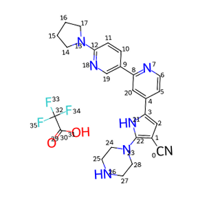 N#Cc1cc(-c2ccnc(-c3ccc(N4CCCC4)nc3)c2)[nH]c1N1CCNCC1.O=C(O)C(F)(F)F